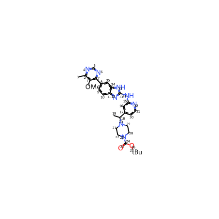 COc1c(C)ncnc1-c1ccc2nc(Nc3cc(C(C)N4CCN(C(=O)OC(C)(C)C)CC4)ccn3)[nH]c2c1